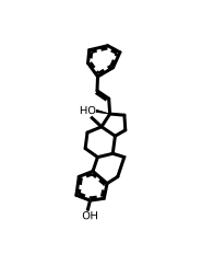 CC12CCC3c4ccc(O)cc4CCC3C1CC[C@@]2(O)/C=C/c1ccccc1